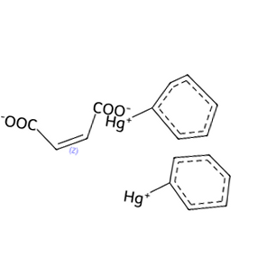 O=C([O-])/C=C\C(=O)[O-].[Hg+][c]1ccccc1.[Hg+][c]1ccccc1